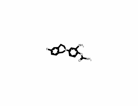 NC(=O)Oc1ccc(N2CCc3cc(F)ccc3C2)cc1N